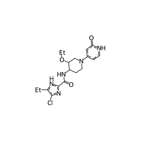 CCOC1CN(c2cc[nH]c(=O)c2)CCC1NC(=O)c1nc(Cl)c(CC)[nH]1